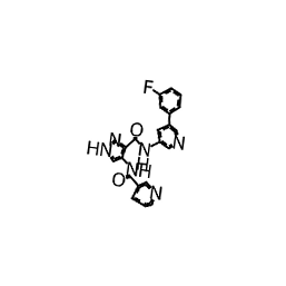 O=C(Nc1c[nH]nc1C(=O)Nc1cncc(-c2cccc(F)c2)c1)c1cccnc1